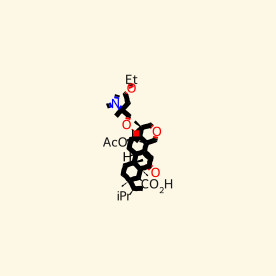 CCOCCC(C)(CO[C@H]1[C@H](OC(C)=O)C[C@@]23COC[C@]1(C)[C@@H]2CC[C@H]1C3=CC(=O)[C@@]2(C)[C@H](C(=O)O)[C@@](C)([C@H](C)C(C)C)CC[C@]12C)N(C)C